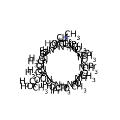 C/C=C/C[C@@H](C)[C@@H](O)[C@H]1C(=O)N[C@@H](CC)C(=O)N(C)[C@H](C)C(=O)N(C)[C@@H]([C@H](C)COCC(C)(C)O)C(=O)N[C@@H](C(C)C)C(=O)N(C)[C@@H](CC(C)C)C(=O)N[C@@H](C)C(=O)N[C@H](C)C(=O)N(C)[C@@H](CC(C)C)C(=O)N(C)[C@@H](CC(C)C)C(=O)N(C)[C@@H](C(C)C)C(=O)N1C